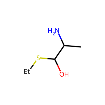 CCSC(O)C(C)N